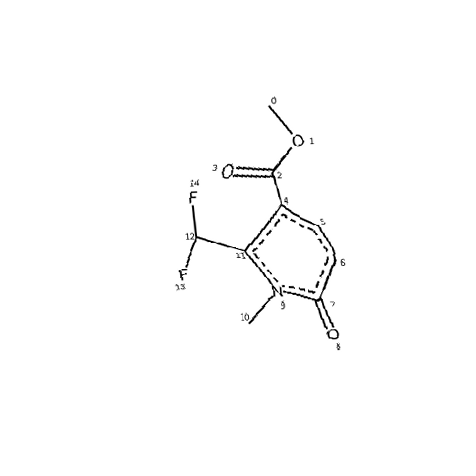 COC(=O)c1ccc(=O)n(C)c1C(F)F